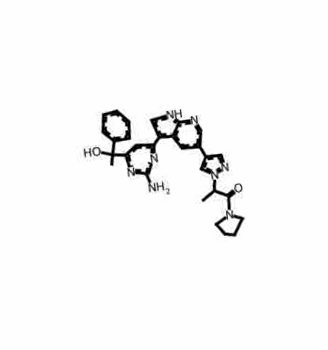 CC(C(=O)N1CCCC1)n1cc(-c2cnc3[nH]cc(-c4cc(C(C)(O)c5ccccc5)nc(N)n4)c3c2)cn1